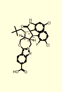 CC(C)(C)CN1[C@H]2COc3c4ccc(C(=O)O)cc4nn3C[C@H]2[C@H](c2cccc(Cl)c2F)[C@]12C(=O)Nc1cc(Cl)ccc12